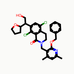 Cc1cc(C)c(CN2CCc3c(Cl)cc(C(CO)C4CCCO4)c(Cl)c3C2=O)c(OCc2ccccc2)n1